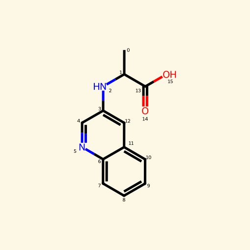 CC(Nc1cnc2ccccc2c1)C(=O)O